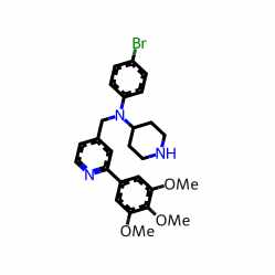 COc1cc(-c2cc(CN(c3ccc(Br)cc3)C3CCNCC3)ccn2)cc(OC)c1OC